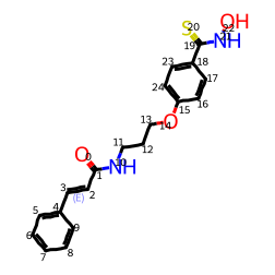 O=C(/C=C/c1ccccc1)NCCCOc1ccc(C(=S)NO)cc1